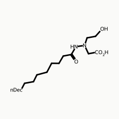 CCCCCCCCCCCCCCCCCC(=O)NN(CCO)CC(=O)O